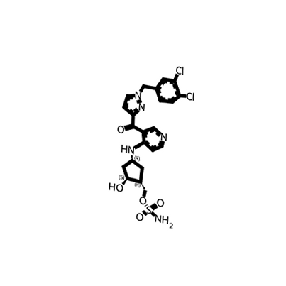 NS(=O)(=O)OC[C@H]1C[C@@H](Nc2ccncc2C(=O)c2ccn(Cc3ccc(Cl)c(Cl)c3)n2)C[C@@H]1O